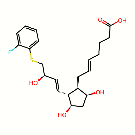 O=C(O)CCCC=CC[C@@H]1[C@@H](C=C[C@@H](O)CSc2ccccc2F)[C@H](O)C[C@@H]1O